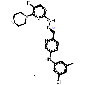 Cc1cc(Cl)cc(Nc2ccc(/C=N/Nc3ncc(F)c(N4CCOCC4)n3)nc2)c1